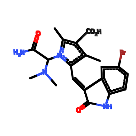 Cc1c(C(=O)O)c(C)n(C(C(N)=O)N(C)C)c1C=C1C(=O)Nc2ccc(Br)cc21